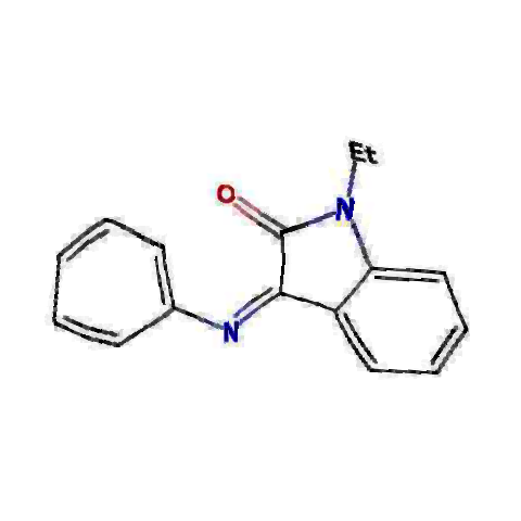 CCN1C(=O)C(=Nc2ccccc2)c2ccccc21